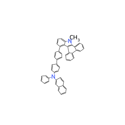 Cn1c2cccc(-c3ccc(-c4ccc(N(c5ccccc5)c5ccc6ccccc6c5)cc4)cc3)c2c2c3ccccc3c3ccccc3c21